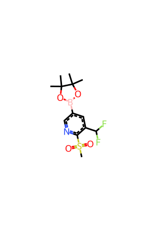 CC1(C)OB(c2cnc(S(C)(=O)=O)c(C(F)F)c2)OC1(C)C